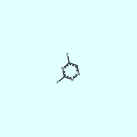 Fc1[c]nnc(F)n1